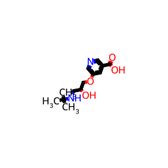 CC(C)(C)NCC(O)COc1cncc(C(=O)O)c1